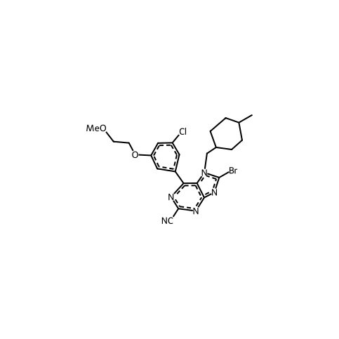 COCCOc1cc(Cl)cc(-c2nc(C#N)nc3nc(Br)n(CC4CCC(C)CC4)c23)c1